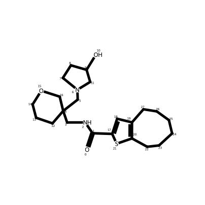 O=C(NCC1(CN2CCC(O)C2)CCCOC1)c1cc2c(s1)CCCCCC2